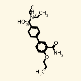 CCCOc1ccc(C2=CC=C([C@H](O)N(CC)CC)CC2)cc1C(N)=O